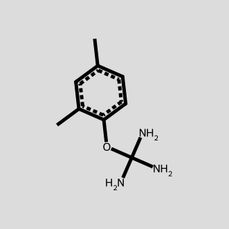 Cc1ccc(OC(N)(N)N)c(C)c1